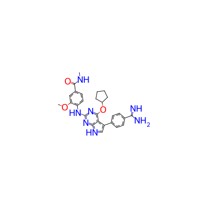 CNC(=O)c1ccc(Nc2nc(OC3CCCC3)c3c(-c4ccc(C(=N)N)cc4)c[nH]c3n2)c(OC)c1